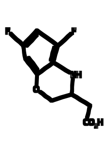 O=C(O)CC1COc2cc(F)cc(F)c2N1